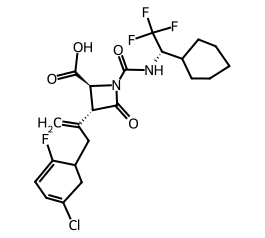 C=C(CC1CC(Cl)=CC=C1F)[C@H]1C(=O)N(C(=O)N[C@@H](C2CCCCC2)C(F)(F)F)[C@@H]1C(=O)O